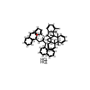 CC1=CC=CC2[CH]([Zr]([C]3=CC=CC3)=[C](Cc3cccc4ccccc34)Cc3cccc4ccccc34)C3(C)C4(C)C=CC=CC4(C)C4(C)C=CC=CC4(C)C3(C)C12C.Cl.Cl